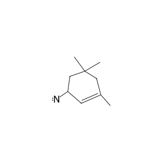 CC1=CC([N])CC(C)(C)C1